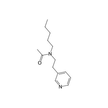 CCCCCN(CCc1cccnc1)C(C)=O